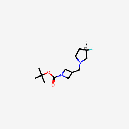 CC(C)(C)OC(=O)N1CC(CN2CC[C@@](C)(F)C2)C1